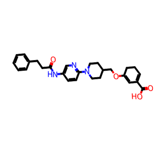 O=C(CCc1ccccc1)Nc1ccc(N2CCC(COC3=CC(C(=O)O)=CCC3)CC2)nc1